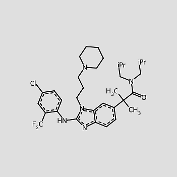 CC(C)CN(CC(C)C)C(=O)C(C)(C)c1ccc2nc(Nc3ccc(Cl)cc3C(F)(F)F)n(CCCN3CCCCC3)c2c1